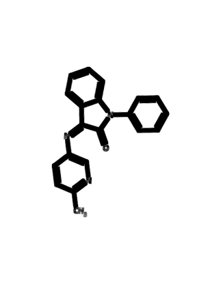 Cc1ccc(N=C2C(=O)N(c3ccccc3)c3ccccc32)cn1